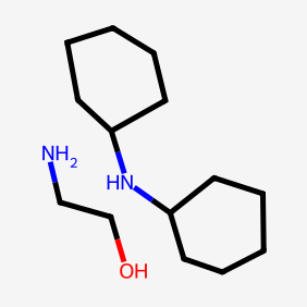 C1CCC(NC2CCCCC2)CC1.NCCO